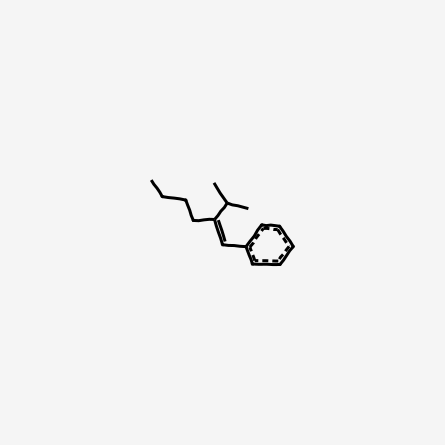 CCCCC(=Cc1ccccc1)C(C)C